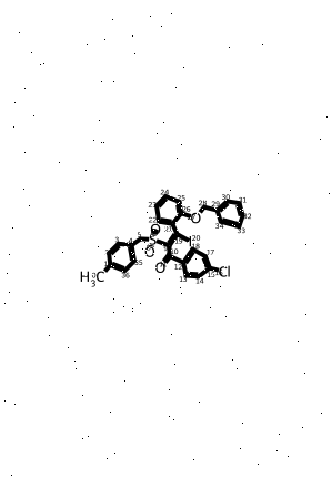 Cc1ccc(CS(=O)(=O)C(C(=O)c2ccc(Cl)cc2)=C(I)c2ccccc2OCc2ccccc2)cc1